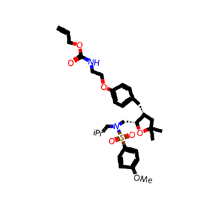 C=CCOC(=O)NCCOc1ccc(C[C@@H]2CC(C)(C)O[C@@H]2CN(CC(C)C)S(=O)(=O)c2ccc(OC)cc2)cc1